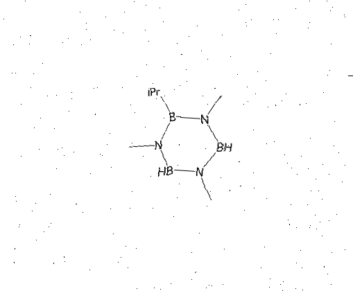 CC(C)B1N(C)BN(C)BN1C